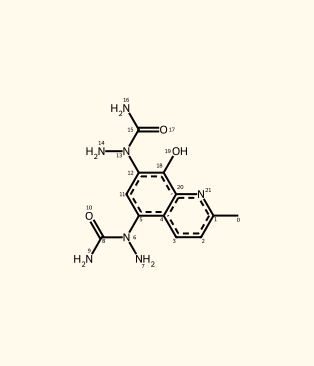 Cc1ccc2c(N(N)C(N)=O)cc(N(N)C(N)=O)c(O)c2n1